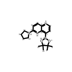 CC1(C)OB(c2ccnc3ccc(N4CCCC4)nc23)OC1(C)C